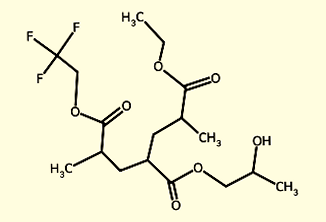 CCOC(=O)C(C)CC(CC(C)C(=O)OCC(F)(F)F)C(=O)OCC(C)O